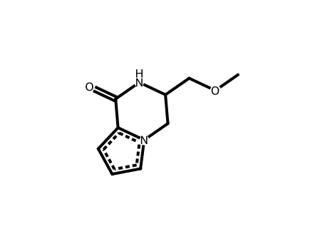 COCC1Cn2cccc2C(=O)N1